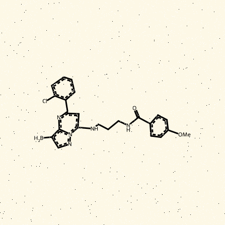 Bc1cnn2c(NCCCNC(=O)c3ccc(OC)cc3)cc(-c3ccccc3Cl)nc12